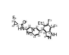 CCc1c(F)c(F)c2[nH]ncc2c1-c1ccc2nc(NC(=O)[C@@H]3C[C@@H]3F)cn2c1